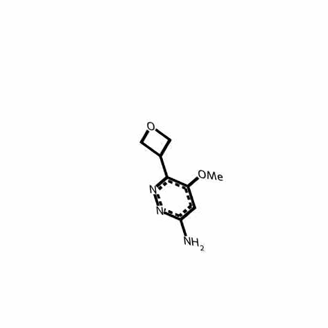 COc1cc(N)nnc1C1COC1